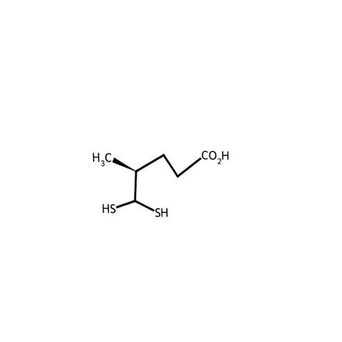 C[C@@H](CCC(=O)O)C(S)S